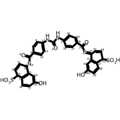 O=C(Nc1ccc(C(=O)N=C2C=CC(S(=O)(=O)O)c3ccc(O)cc32)cc1)Nc1ccc(C(=O)N=C2C=CC(S(=O)(=O)O)c3ccc(O)cc32)cc1